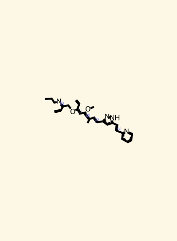 C=C\C(=C/C(OC)=C(C)/C=C/c1cc(/C=C/c2ccccn2)[nH]n1)OC/C(C=C)=N/CCC